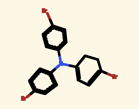 BrC1=CC=C(N(c2ccc(Br)cc2)c2ccc(Br)cc2)CC1